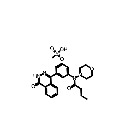 CCCC(=O)N(c1cccc(-c2n[nH]c(=O)c3ccccc23)c1)N1CCOCC1.CS(=O)(=O)O